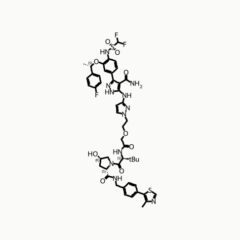 Cc1ncsc1-c1ccc(CNC(=O)[C@@H]2C[C@@H](O)CN2C(=O)[C@@H](NC(=O)COCCn2ccc(Nc3[nH]nc(-c4ccc(NS(=O)(=O)C(F)F)c(O[C@@H](C)c5ccc(F)cc5)c4)c3C(N)=O)n2)C(C)(C)C)cc1